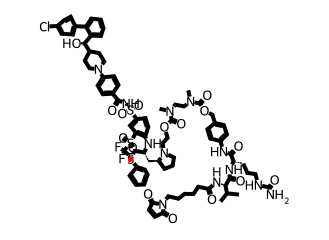 CC(C)[C@H](NC(=O)CCCCCN1C(=O)C=CC1=O)C(=O)N[C@@H](CCCNC(N)=O)C(=O)Nc1ccc(COC(=O)N(C)CCN(C)C(=O)OCCN2CCC[C@H]2C[C@H](CSc2ccccc2)Nc2ccc(S(=O)(=O)NC(=O)c3ccc(N4CCC([C@@H](O)c5ccccc5-c5ccc(Cl)cc5)CC4)cc3)cc2S(=O)(=O)C(F)(F)F)cc1